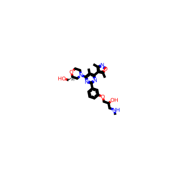 CNCC(O)COc1cccc(-c2nc(-c3c(C)noc3C)c(C)c(N3CCO[C@@H](CO)C3)n2)c1